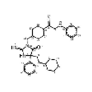 N=C1NC(CCC2CCCCC2)(c2ccccc2)C(=O)N1CC1CCC(C(=O)COc2ccccc2)CC1